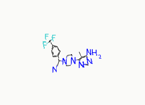 Cc1c(N)ncnc1N1CCN(C(C#N)c2ccc(C(F)(F)F)cc2)CC1